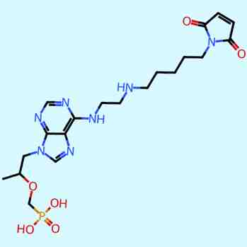 CC(Cn1cnc2c(NCCNCCCCCN3C(=O)C=CC3=O)ncnc21)OCP(=O)(O)O